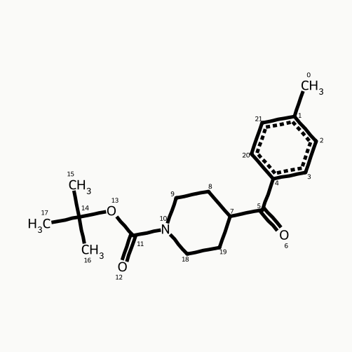 Cc1ccc(C(=O)C2CCN(C(=O)OC(C)(C)C)CC2)cc1